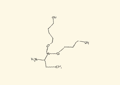 CCC(N)N(OCCCO)OCCCO